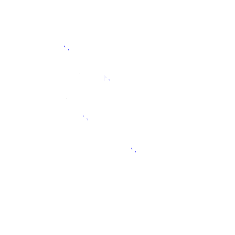 CCc1nc(C)cn2cc(N)nc12